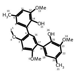 COc1cc(OI)c(-c2cc(C)cc(OC)c2O)cc1-c1cc(C)cc(OC)c1O